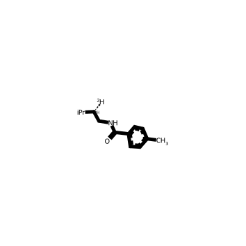 [2H][C@H](CNC(=O)c1ccc(C)cc1)C(C)C